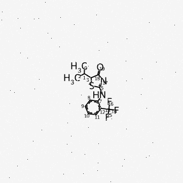 CC(C)C1SC(Nc2ccccc2C(F)(F)F)=NC1=O